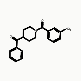 O=C(c1ccccc1)C1CCN(C(=O)c2cccc([N+](=O)[O-])c2)CC1